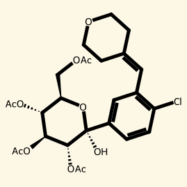 CC(=O)OC[C@H]1O[C@@](O)(c2ccc(Cl)c(C=C3CCOCC3)c2)[C@H](OC(C)=O)[C@@H](OC(C)=O)[C@@H]1OC(C)=O